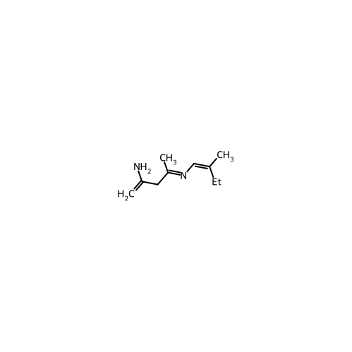 C=C(N)C/C(C)=N/C=C(/C)CC